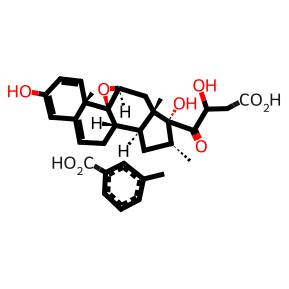 C[C@@H]1C[C@H]2[C@@H]3CC=C4C=C(O)C=C[C@]4(C)[C@@]34O[C@H]4C[C@]2(C)[C@@]1(O)C(=O)C(O)CC(=O)O.Cc1cccc(C(=O)O)c1